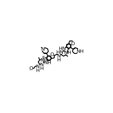 COCCNC1CC(C)NC(Nc2cc3c(c(C4=CCN(C)CCC4)c2F)OC(CNC2CC(C)NC(Nc4cc5c(c(C6=CCNCCC6)c4F)OCC5)N2)C3)N1